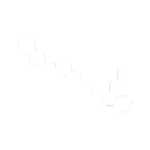 NC(=O)Nc1c(CCCCN2CCN(c3ccc4c(c3)OCCO4)CC2)sc2ccccc12